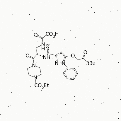 CCOC(=O)N1CCN(C(=O)[C@H](CNC(=O)C(=O)O)NC(=O)c2cc(OCC(=O)C(C)(C)C)n(-c3ccccc3)n2)CC1